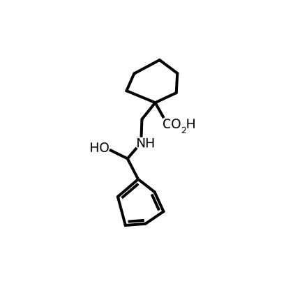 O=C(O)C1(CNC(O)c2ccccc2)CCCCC1